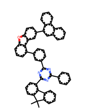 CC1(C)c2ccccc2-c2c(-c3nc(-c4ccccc4)nc(-c4cccc(-c5cccc6oc7ccc(-c8cc9ccccc9c9ccccc89)cc7c56)c4)n3)cccc21